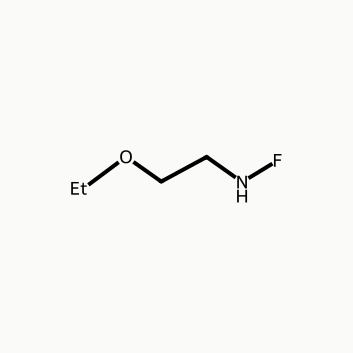 CCOCCNF